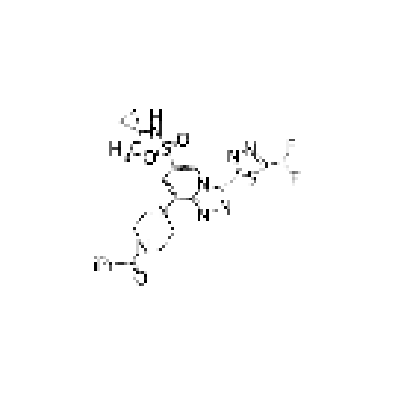 CC(C)C(=O)N1CCN(c2cc(S(=O)(=O)NC3(C)CC3)cn3c(-c4nnc(C(F)F)s4)nnc23)CC1